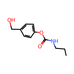 CCCNC(=O)Oc1ccc(CO)cc1